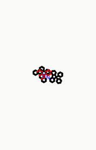 c1ccc(-c2ccccc2-c2ccccc2-c2ccccc2N(c2ccccc2-n2c3ccccc3c3ccccc32)c2cccc3c2-c2ccccc2C3(c2ccccc2)c2ccccc2)cc1